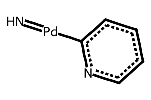 [NH]=[Pd][c]1ccccn1